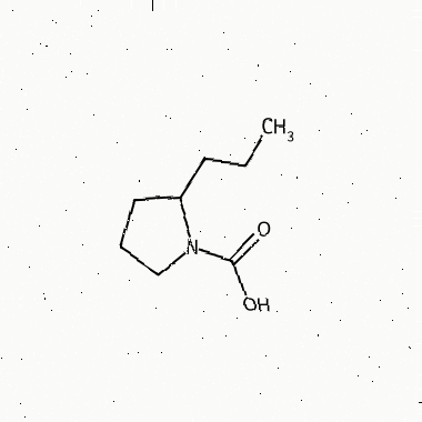 CCCC1CCCN1C(=O)O